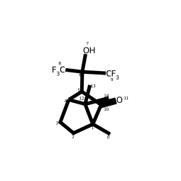 CC12CCC(C(C(O)(C(F)(F)F)C(F)(F)F)C1=O)C2(C)C